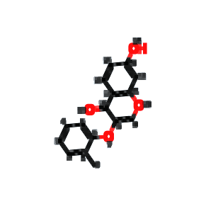 Cc1ccccc1Oc1coc2cc(O)ccc2c1=O